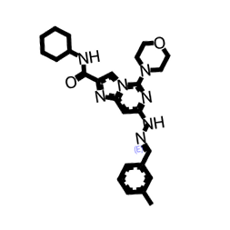 Cc1cccc(/C=N/Nc2cc3nc(C(=O)NC4CCCCC4)cn3c(N3CCOCC3)n2)c1